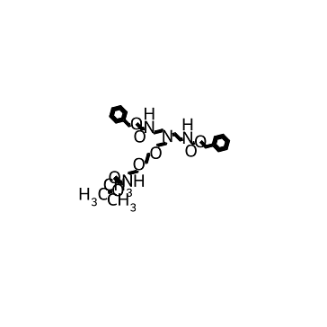 CC(C)(C)OC(=O)NCCOCCOCCN(CCNC(=O)OCc1ccccc1)CCNC(=O)OCc1ccccc1